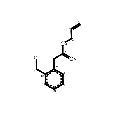 C=CCOC(=O)Cc1ccccc1CC